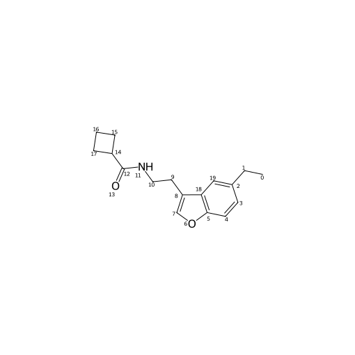 CCc1ccc2occ(CCNC(=O)C3CCC3)c2c1